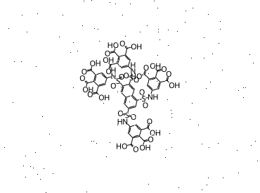 O=C(O)c1cc(NS(=O)(=O)c2cc(S(=O)(=O)Nc3cc(C(=O)O)c(C(=O)O)c(C(=O)O)c3)c3cc(S(=O)(=O)Nc4cc(C(=O)O)c(C(=O)O)c(C(=O)O)c4)c(S(=O)(=O)Nc4cc(C(=O)O)c(C(=O)O)c(C(=O)O)c4)cc3c2)cc(C(=O)O)c1C(=O)O